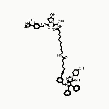 Cc1ncsc1-c1ccc(CNC(=O)[C@@H]2C[C@@H](O)CN2C(=O)[C@@H](NC(=O)CCCCCCCCCNC(=O)CCCCC#Cc2cccc(Cn3c(-c4ccccc4)c(-c4ccccc4)c4c(=N)n(C5CCC(O)CC5)cnc43)c2)C(C)(C)C)cc1